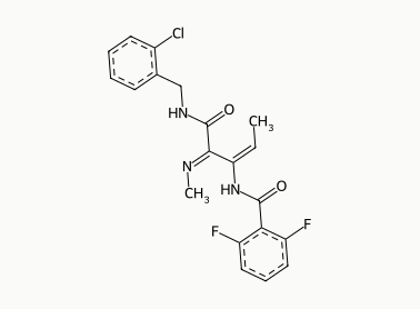 C/C=C(NC(=O)c1c(F)cccc1F)\C(=N/C)C(=O)NCc1ccccc1Cl